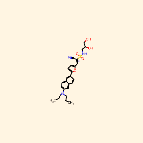 CCCN(CCC)c1ccc2cc(-c3ccc(/C=C(\C#N)S(=O)(=O)NCC(O)CO)o3)ccc2c1